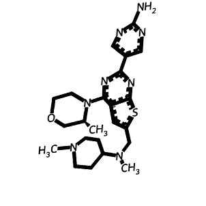 C[C@H]1COCCN1c1nc(-c2cnc(N)nc2)nc2sc(CN(C)C3CCN(C)CC3)cc12